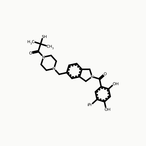 CC(C)c1cc(C(=O)N2Cc3ccc(CN4CCN(C(=O)C(C)(C)S)CC4)cc3C2)c(O)cc1O